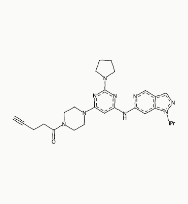 C#CCCC(=O)N1CCN(c2cc(Nc3cc4c(cn3)cnn4C(C)C)nc(N3CCCC3)n2)CC1